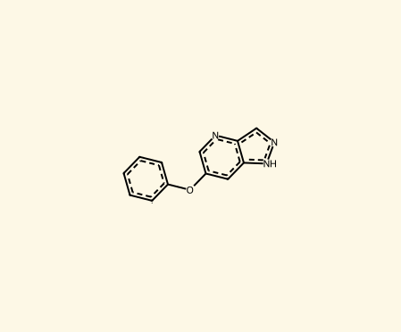 [c]1ccccc1Oc1cnc2cn[nH]c2c1